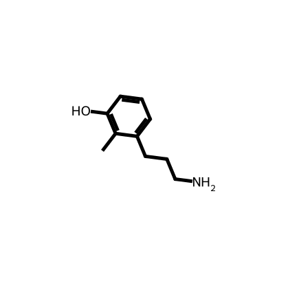 Cc1c(O)cccc1CCCN